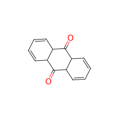 O=C1C2C=CC=CC2C(=O)C2C=CC=CC12